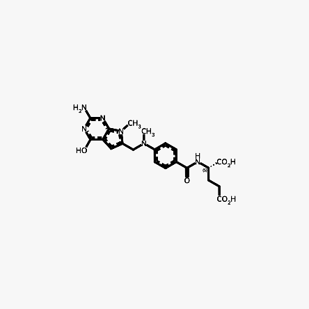 CN(Cc1cc2c(O)nc(N)nc2n1C)c1ccc(C(=O)N[C@@H](CCC(=O)O)C(=O)O)cc1